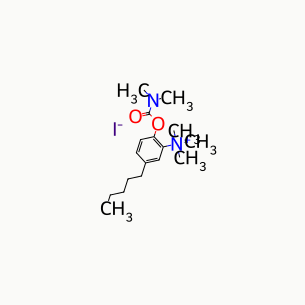 CCCCCc1ccc(OC(=O)N(C)C)c([N+](C)(C)C)c1.[I-]